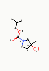 CC(C)COC(=O)N1CCC(C)(O)C1